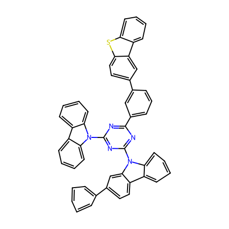 c1ccc(-c2ccc3c4ccccc4n(-c4nc(-c5cccc(-c6ccc7sc8ccccc8c7c6)c5)nc(-n5c6ccccc6c6ccccc65)n4)c3c2)cc1